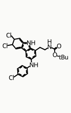 CC(C)(C)OC(=O)NCCc1cc(Nc2ccc(Cl)cc2)cc2c3c([nH]c12)=CC(Cl)C(Cl)C=3